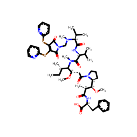 CC[C@H](C)C([C@H](CC(=O)N1CCC[C@H]1[C@@H](OC)[C@@H](C)C(=O)N[C@@H](Cc1ccccc1)C(=O)O)OC)N(C)C(=O)[C@@H](NC(=O)[C@H](C(C)C)N(C)CN1C(=O)C(Sc2ccccn2)=C(Sc2ccccn2)C1=O)C(C)C